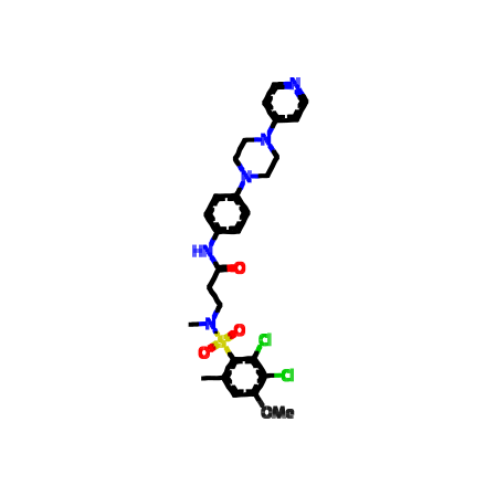 COc1cc(C)c(S(=O)(=O)N(C)CCC(=O)Nc2ccc(N3CCN(c4ccncc4)CC3)cc2)c(Cl)c1Cl